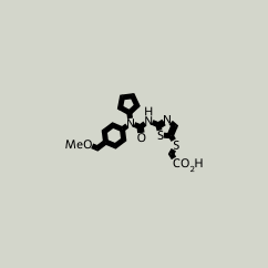 COCC1CCC(N(C(=O)Nc2ncc(SCC(=O)O)s2)C2CCCC2)CC1